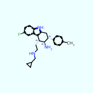 Cc1ccc([C@H]2Cc3[nH]c4ccc(F)cc4c3[C@@H](CCNCC3CC3)[C@@H]2N)cc1